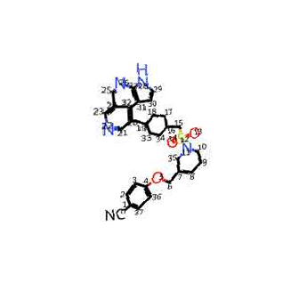 N#Cc1ccc(OCC2CCCN(S(=O)(=O)CC3CCC(c4cncc5cnc6[nH]ccc6c45)CC3)C2)cc1